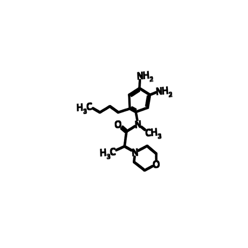 CCCCc1cc(N)c(N)cc1N(C)C(=O)C(C)N1CCOCC1